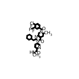 CNC(=O)c1ccc(-n2c(CC3CCCCC3)nc3c(c2=O)CC(C)N(C(=O)c2ccc(Cl)c(C(F)(F)F)c2)C3)cn1